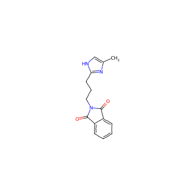 Cc1c[nH]c(CCCN2C(=O)c3ccccc3C2=O)n1